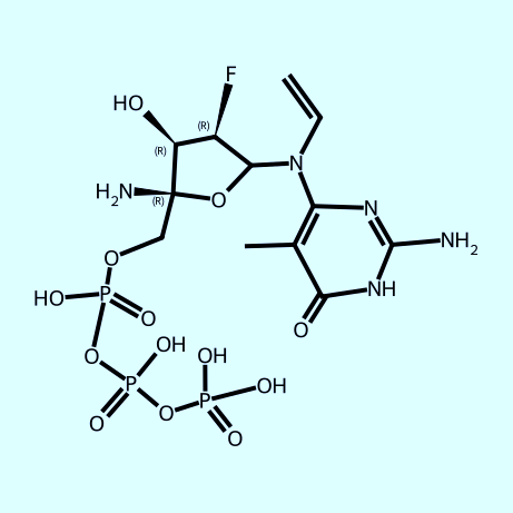 C=CN(c1nc(N)[nH]c(=O)c1C)C1O[C@](N)(COP(=O)(O)OP(=O)(O)OP(=O)(O)O)[C@@H](O)[C@H]1F